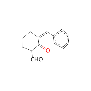 O=CC1CCCC(=Cc2ccccc2)C1=O